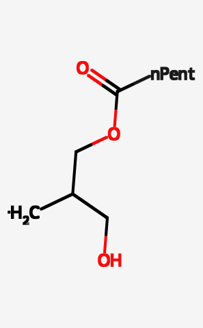 [CH2]C(CO)COC(=O)CCCCC